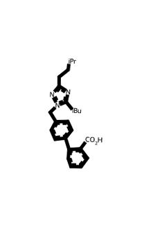 CCC(C)c1nc(CCC(C)C)nn1Cc1ccc(-c2ccccc2C(=O)O)cc1